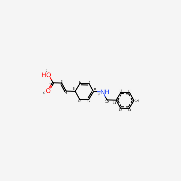 O=C(O)C=CC1C=CC(NCc2ccccc2)=CC1